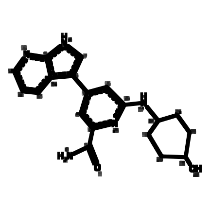 NC(=O)c1cc(-c2c[nH]c3ncccc23)cc(NC2CCC(O)CC2)n1